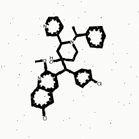 COc1nc2ccc(Cl)cc2cc1C(c1ccc(Cl)cc1)C1(O)CCN(C(C)c2ccccc2)C(c2cccnc2)C1